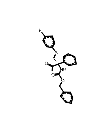 CC(=O)[C@](CSc1ccc(F)cc1)(NC(=O)OCc1ccccc1)c1ccccc1